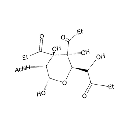 CCC(=O)C(O)[C@H]1O[C@H](O)[C@H](NC(C)=O)[C@](O)(C(=O)CC)[C@@]1(O)C(=O)CC